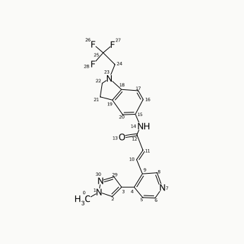 Cn1cc(-c2ccncc2/C=C/C(=O)Nc2ccc3c(c2)CCN3CC(F)(F)F)cn1